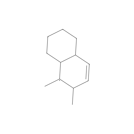 C[C]1C(C)C=CC2CCCCC12